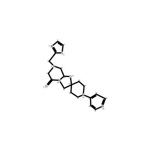 O=C1CN(Cc2nccs2)CC2OC3(CCN(c4ccncc4)CC3)CN12